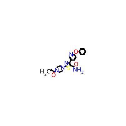 C=CC(=O)N1CCN(c2nc(-c3ccc(Oc4ccccc4)nc3)c(C(N)=O)s2)CC1